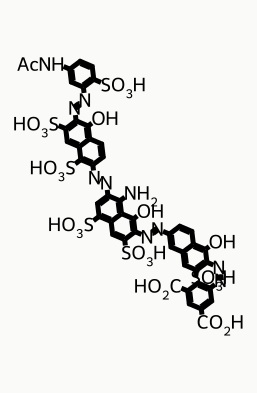 CC(=O)Nc1ccc(S(=O)(=O)O)c(N=Nc2c(S(=O)(=O)O)cc3c(S(=O)(=O)O)c(N=Nc4cc(S(=O)(=O)O)c5cc(S(=O)(=O)O)c(N=Nc6ccc7c(O)c(/N=N\c8cc(C(=O)O)cc(C(=O)O)c8)c(S(=O)(=O)O)cc7c6)c(O)c5c4N)ccc3c2O)c1